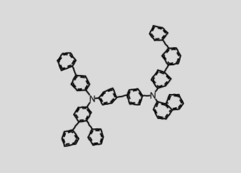 c1ccc(-c2ccc(N(c3ccc(-c4ccc(N(c5ccc(-c6cccc(-c7ccccc7)c6)cc5)c5cccc6ccccc56)cc4)cc3)c3ccc(-c4ccccc4)c(-c4ccccc4)c3)cc2)cc1